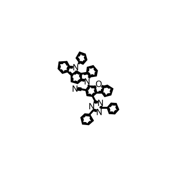 N#Cc1cc(-c2nc(-c3ccccc3)nc(-c3ccccc3)n2)c2c(oc3ccccc32)c1-n1c2ccccc2c2c1ccc1c3ccccc3n(-c3ccccc3)c12